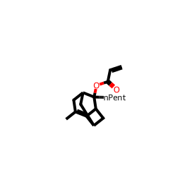 C=CC(=O)OC1(CCCCC)C2CC(C)=C3C(C2)CC31